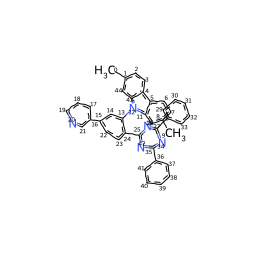 Cc1ccc2c3ccc(C)cc3n(-c3cc(-c4cccnc4)ccc3-c3nc(-c4ccccc4)nc(-c4ccccc4)n3)c2c1